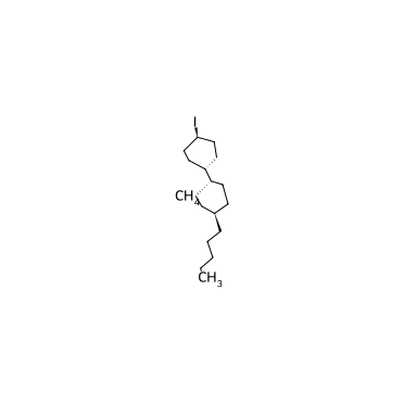 C.CCCCC[C@H]1CC[C@H]([C@H]2CC[C@H](I)CC2)CC1